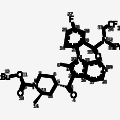 Cc1c(C(=O)[C@H]2CCN(C(=O)OC(C)(C)C)[C@H](C)C2)c2ccncc2n1-c1ccc(F)cc1C(=O)N(CC(F)(F)F)C(C)C